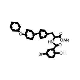 COC(=O)C(Cc1ccc(-c2ccc(Oc3ccccc3)cc2)cc1)NC(=O)c1cc(Br)ccc1O